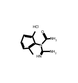 Cc1cccc(C)c1N(C(=N)N)C(N)=O.Cl